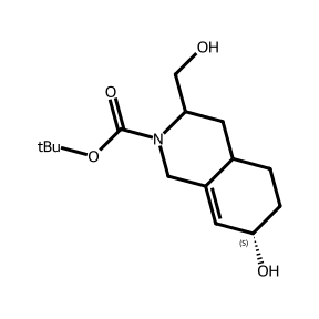 CC(C)(C)OC(=O)N1CC2=C[C@@H](O)CCC2CC1CO